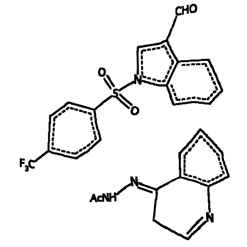 CC(=O)NN=C1CC=Nc2ccccc21.O=Cc1cn(S(=O)(=O)c2ccc(C(F)(F)F)cc2)c2ccccc12